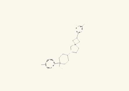 Cc1noc(C2CC3(CCN(C4CCC(C#N)(c5ccc(F)cn5)CC4)C3)C2)n1